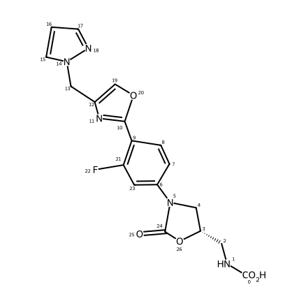 O=C(O)NC[C@H]1CN(c2ccc(-c3nc(Cn4cccn4)co3)c(F)c2)C(=O)O1